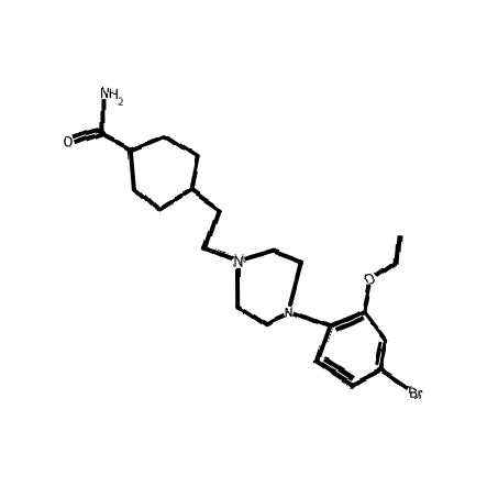 CCOc1cc(Br)ccc1N1CCN(CCC2CCC(C(N)=O)CC2)CC1